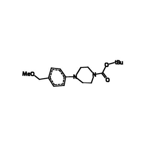 COCc1ccc(N2CCN(C(=O)OC(C)(C)C)CC2)cc1